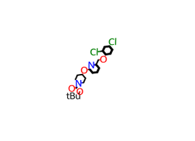 CC(C)(C)OC(=O)N1CCC(Oc2cccc(COc3ccc(Cl)cc3Cl)n2)CC1